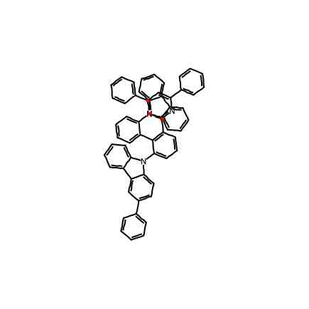 c1ccc(-c2ccc3c(c2)c2ccccc2n3-c2cccc(-c3nc(-c4ccccc4)cc(-c4ccccc4)n3)c2-c2ccccc2-n2c3ccccc3c3ccccc32)cc1